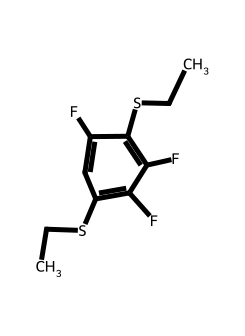 CCSc1cc(F)c(SCC)c(F)c1F